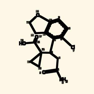 NC(=O)CC(c1c(Cl)ccc2c1CCO2)C1(C(=O)O)CC1